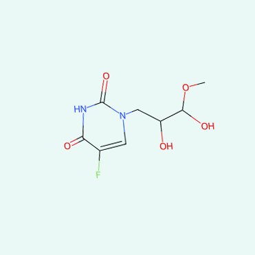 COC(O)C(O)Cn1cc(F)c(=O)[nH]c1=O